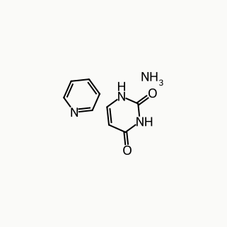 N.O=c1cc[nH]c(=O)[nH]1.c1ccncc1